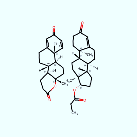 CCC(=O)O[C@H]1CC[C@H]2[C@@H]3CCC4=CC(=O)CC[C@]4(C)[C@H]3CC[C@]12C.C[C@]12C=CC(=O)C=C1CC[C@@H]1[C@@H]2CC[C@]2(C)OC(=O)CC[C@@H]12